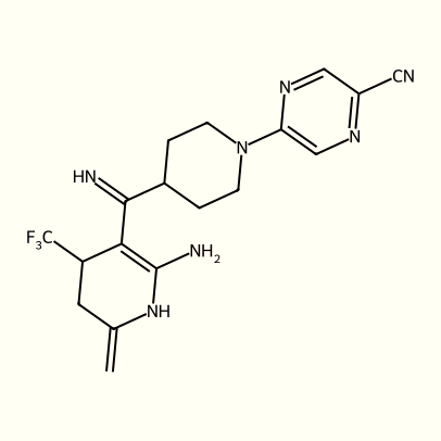 C=C1CC(C(F)(F)F)C(C(=N)C2CCN(c3cnc(C#N)cn3)CC2)=C(N)N1